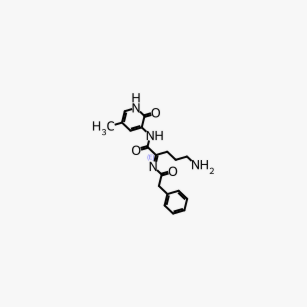 Cc1c[nH]c(=O)c(NC(=O)/C(CCCN)=N/C(=O)Cc2ccccc2)c1